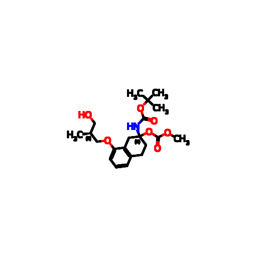 COC(=O)O[C@]1(NC(=O)OC(C)(C)C)CCc2cccc(OC[C@@H](C)CO)c2C1